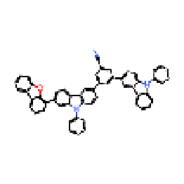 N#Cc1cc(-c2ccc3c(c2)c2ccccc2n3-c2ccccc2)cc(-c2ccc3c(c2)c2ccc(-c4cccc5c4oc4ccccc45)cc2n3-c2ccccc2)c1